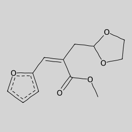 COC(=O)C(=Cc1ccco1)CC1OCCO1